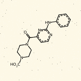 O=C(O)N1CCN(C(=O)c2ccnc(Nc3ccccc3)n2)CC1